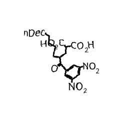 CCCCCCCCCCCCCCC(CC(C(=O)O)C(=O)O)C(=O)c1cc([N+](=O)[O-])cc([N+](=O)[O-])c1